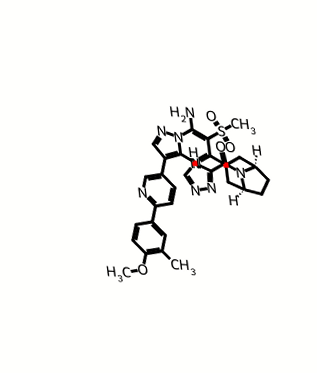 COc1ccc(-c2ccc(-c3cnn4c(N)c(S(C)(=O)=O)c(C5C[C@H]6CC[C@@H](C5)N6C(=O)c5nnc[nH]5)nc34)cn2)cc1C